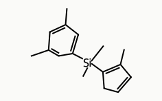 CC1=C([Si](C)(C)c2cc(C)cc(C)c2)CC=C1